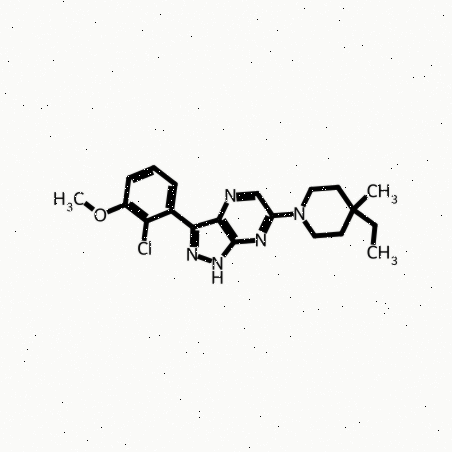 CCC1(C)CCN(c2cnc3c(-c4cccc(OC)c4Cl)n[nH]c3n2)CC1